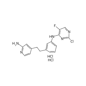 Cl.Cl.Nc1cc(CCc2cccc(Nc3nc(Cl)ncc3F)c2)ccn1